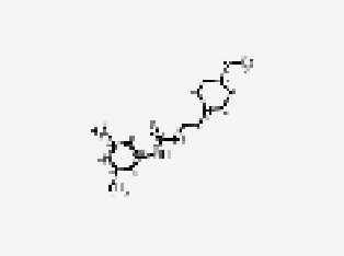 CCNC1CCN(CCNC(=O)Nc2cc(C)nc(C)c2)CC1